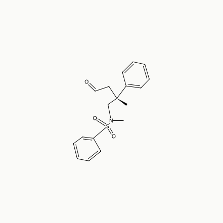 CN(C[C@](C)(CC=O)c1ccccc1)S(=O)(=O)c1ccccc1